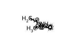 C=CCCC(=O)CCC(NC(=O)OCc1ccccc1)C(=O)OCC